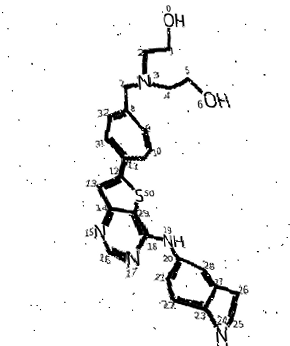 OCCN(CCO)Cc1ccc(-c2cc3ncnc(Nc4ccc5[nH]ccc5c4)c3s2)cc1